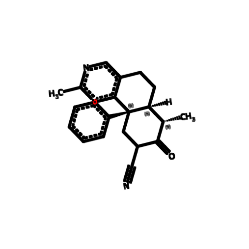 Cc1ncc2c(n1)[C@@]1(c3ccccc3)CC(C#N)C(=O)[C@@H](C)[C@@H]1CC2